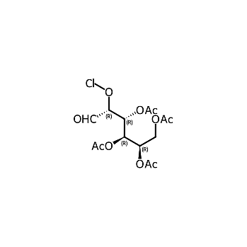 CC(=O)OC[C@@H](OC(C)=O)[C@@H](OC(C)=O)[C@@H](OC(C)=O)[C@H](C=O)OCl